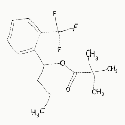 CCCC(OC(=O)C(C)(C)C)c1ccccc1C(F)(F)F